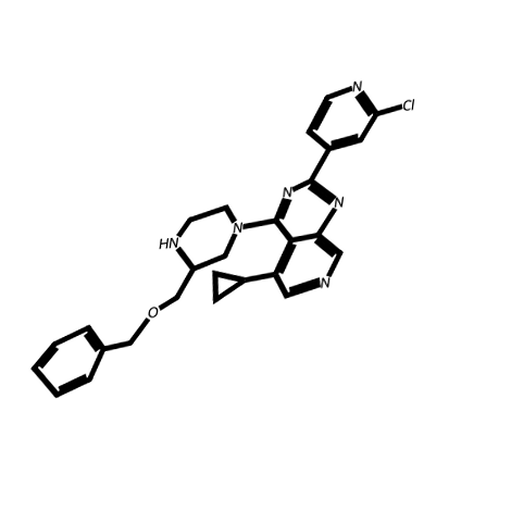 Clc1cc(-c2nc(N3CCNC(COCc4ccccc4)C3)c3c(C4CC4)cncc3n2)ccn1